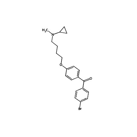 CN(CCCCOc1ccc(C(=O)c2ccc(Br)cc2)cc1)C1CC1